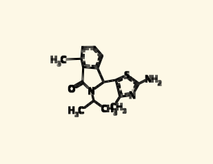 Cc1cccc2c1C(=O)N(C(C)C)C2c1sc(N)nc1C